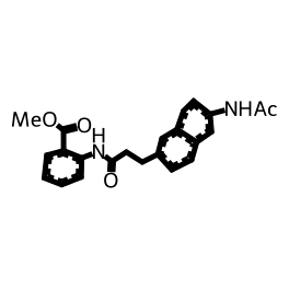 COC(=O)c1ccccc1NC(=O)CCc1ccc2cc(NC(C)=O)ccc2c1